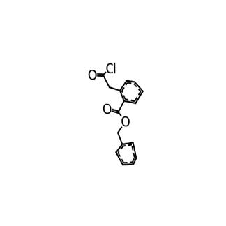 O=C(Cl)Cc1ccccc1C(=O)OCc1ccccc1